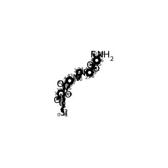 C[Si](C)(C)CCOCN1C(=O)CCC(N2Cc3cc(N4CC5C4CCN5c4cccc(S(=O)(=O)c5ccc(N)c(F)c5)c4)ccc3C2=O)C1=O